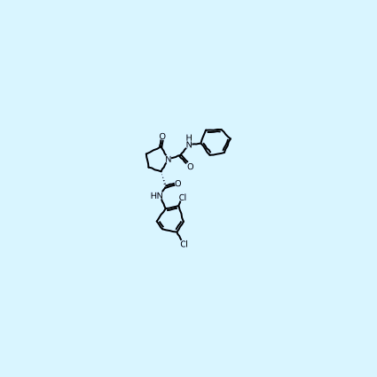 O=C(Nc1ccc(Cl)cc1Cl)[C@@H]1CCC(=O)N1C(=O)Nc1ccccc1